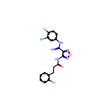 N=C(Nc1ccc(F)c(Br)c1)c1nonc1NC(=O)CCc1ccccc1Cl